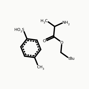 CC(N)C(=O)OCC(C)(C)C.Cc1ccc(S(=O)(=O)O)cc1